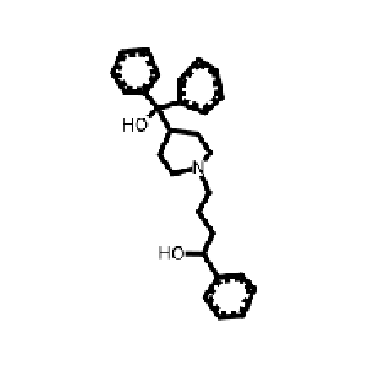 OC(CCCN1CCC(C(O)(c2ccccc2)c2ccccc2)CC1)c1ccccc1